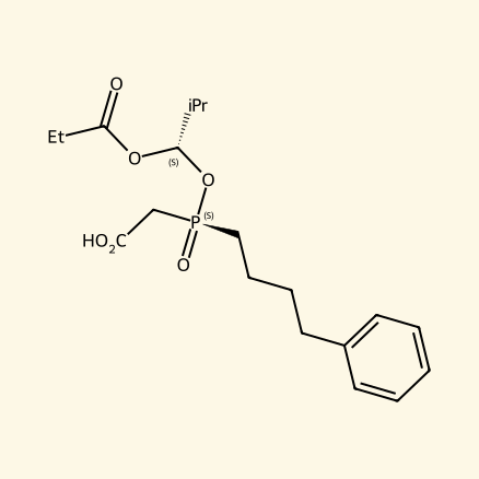 CCC(=O)O[C@@H](O[P@@](=O)(CCCCc1ccccc1)CC(=O)O)C(C)C